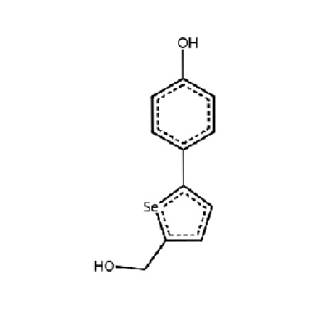 OCc1ccc(-c2ccc(O)cc2)[se]1